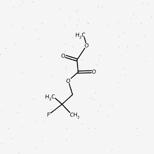 COC(=O)C(=O)OCC(C)(C)F